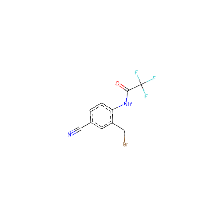 N#Cc1ccc(NC(=O)C(F)(F)F)c(CBr)c1